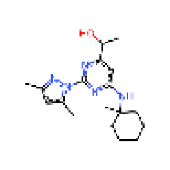 Cc1cc(C)n(-c2nc(NC3(C)CCCCC3)cc(C(C)O)n2)n1